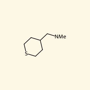 CNCC1CCSCC1